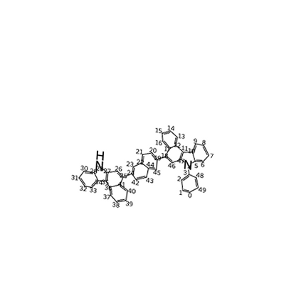 c1ccc(-n2c3ccccc3c3c4ccccc4c(-c4ccc5cc(-c6cc7[nH]c8ccccc8c7c7ccccc67)ccc5c4)cc32)cc1